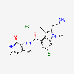 CCCc1cc(C)[nH]c(=O)c1CNC(=O)c1cc(Cl)cc2c1c(C)c(CCN)n2C(C)C.Cl